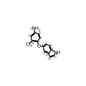 Nc1ccc(Oc2ccc3[nH]ccc3c2)c(Cl)c1